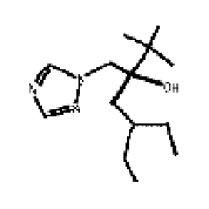 CCC(CC)CC(O)(Cn1cncn1)C(C)(C)C